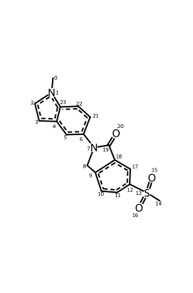 Cn1ccc2cc(N3Cc4ccc(S(C)(=O)=O)cc4C3=O)ccc21